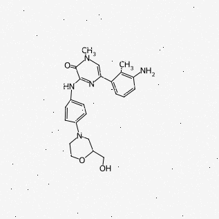 Cc1c(N)cccc1-c1cn(C)c(=O)c(Nc2ccc(N3CCOC(CO)C3)cc2)n1